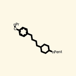 CCCCCC1CCC(CCCCc2ccc(OCCC)cc2)CC1